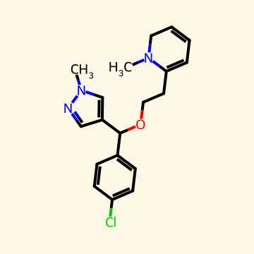 CN1CC=CC=C1CCOC(c1ccc(Cl)cc1)c1cnn(C)c1